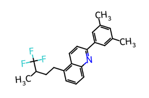 Cc1cc(C)cc(-c2ccc3c(CCC(C)C(F)(F)F)cccc3n2)c1